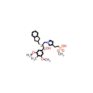 COc1cc([C@@H](O)[C@H](CC2Cc3ccccc3C2)Cn2ccc(CCP(=O)(O)OC)c2)cc(OC)c1C